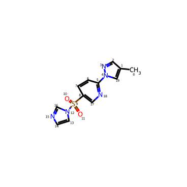 Cc1cnn(-c2ccc(S(=O)(=O)n3ccnc3)cn2)c1